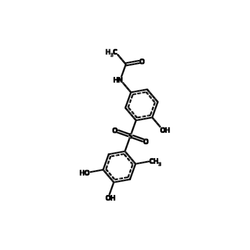 CC(=O)Nc1ccc(O)c(S(=O)(=O)c2cc(O)c(O)cc2C)c1